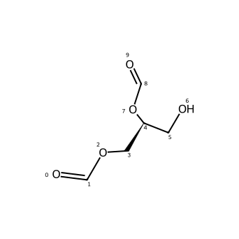 O=COC[C@H](CO)OC=O